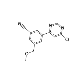 COCc1cc(C#N)cc(-c2cc(Cl)ncn2)c1